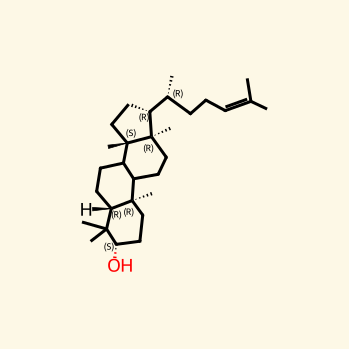 CC(C)=CCC[C@@H](C)[C@H]1CC[C@@]2(C)C3CC[C@H]4C(C)(C)[C@@H](O)CC[C@]4(C)C3CC[C@]12C